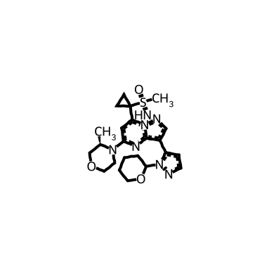 C[C@@H]1COCCN1c1cc(C2(S(C)(=N)=O)CC2)n2ncc(-c3ccnn3C3CCCCO3)c2n1